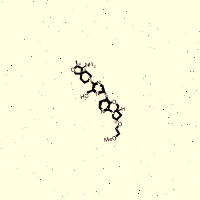 COCCO[C@H]1C[C@H]2COc3c(Sc4cnc(N5CCC6(CC5)CO[C@@H](C)[C@H]6N)c(CO)n4)ccnc3N2C1